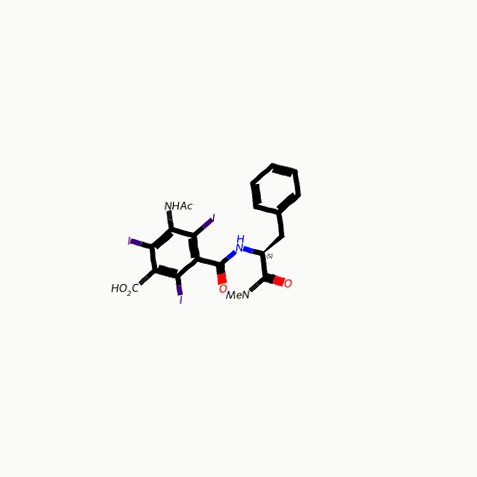 CNC(=O)[C@H](Cc1ccccc1)NC(=O)c1c(I)c(NC(C)=O)c(I)c(C(=O)O)c1I